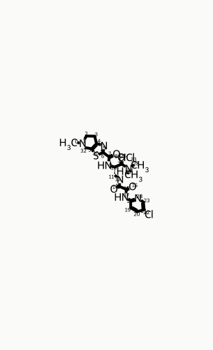 CN1CCc2nc(C(=O)N[C@@H](CNC(=O)C(=O)Nc3ccc(Cl)cn3)C(=O)N(C)C)sc2C1.Cl